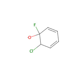 [O]C1(F)C=CC=CC1Cl